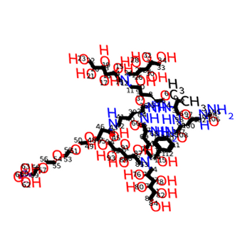 CC(C)[C@H](NC(=O)[C@H](CCCCN(C[C@H](O)[C@@H](O)[C@H](O)[C@H](O)CO)C[C@H](O)[C@@H](O)[C@H](O)[C@H](O)CO)NC(=O)[C@H](CCCCNC(=O)CCOCCOCCOCCOCCP(=O)(O)O)NC(=O)[C@@H](N)CCCCN(C[C@H](O)[C@@H](O)[C@H](O)[C@H](O)CO)C[C@H](O)[C@@H](O)[C@H](O)[C@H](O)CO)C(=O)N[C@@H](CCCNC(N)=O)C(=O)Nc1ccc(CO)cc1